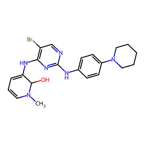 CN1C=CC=C(Nc2nc(Nc3ccc(N4CCCCC4)cc3)ncc2Br)C1O